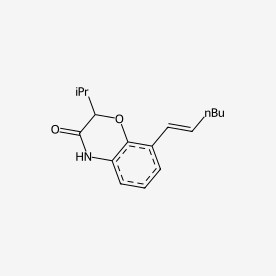 CCCC/C=C/c1cccc2c1OC(C(C)C)C(=O)N2